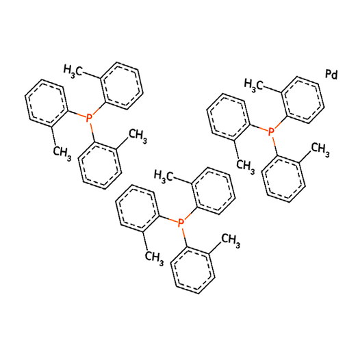 Cc1ccccc1P(c1ccccc1C)c1ccccc1C.Cc1ccccc1P(c1ccccc1C)c1ccccc1C.Cc1ccccc1P(c1ccccc1C)c1ccccc1C.[Pd]